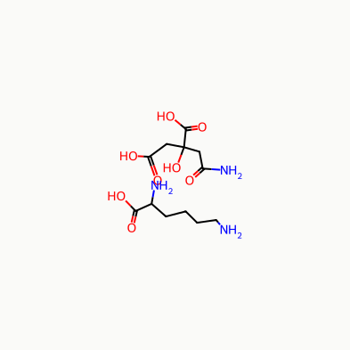 NC(=O)CC(O)(CC(=O)O)C(=O)O.NCCCCC(N)C(=O)O